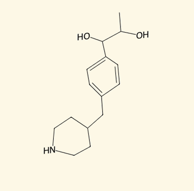 CC(O)C(O)c1ccc(CC2CCNCC2)cc1